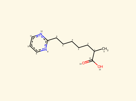 CC(CCCCCc1ncccn1)C(=O)O